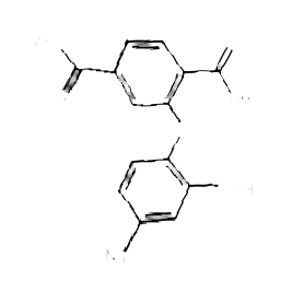 COC(=O)c1ccc(C(=O)OC)c(Oc2cc[c]([Na])cc2S(=O)(=O)O)c1